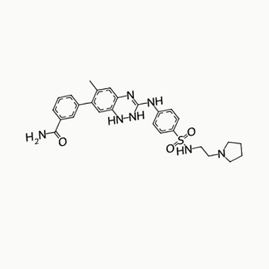 Cc1cc2c(cc1-c1cccc(C(N)=O)c1)NNC(Nc1ccc(S(=O)(=O)NCCN3CCCC3)cc1)=N2